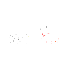 C=CC(=O)OCC(CC)(COC(=O)CCSCCC[Si](C)(OC)OC)COC(=O)CCP(=O)(O)O